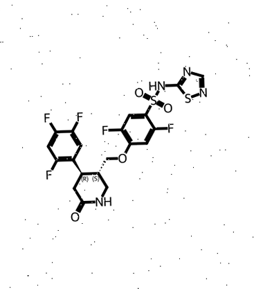 O=C1C[C@@H](c2cc(F)c(F)cc2F)[C@H](COc2cc(F)c(S(=O)(=O)Nc3ncns3)cc2F)CN1